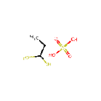 CCC(S)S.O=S(=O)(O)O